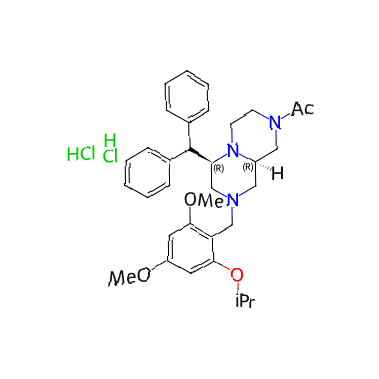 COc1cc(OC)c(CN2C[C@@H]3CN(C(C)=O)CCN3[C@H](C(c3ccccc3)c3ccccc3)C2)c(OC(C)C)c1.Cl.Cl